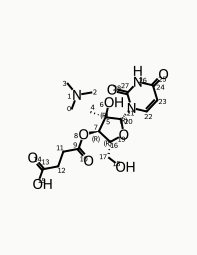 CN(C)C.C[C@@]1(O)[C@H](OC(=O)CCC(=O)O)[C@@H](CO)O[C@H]1n1ccc(=O)[nH]c1=O